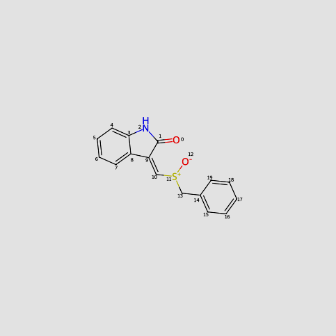 O=C1Nc2ccccc2C1=C[S+]([O-])Cc1ccccc1